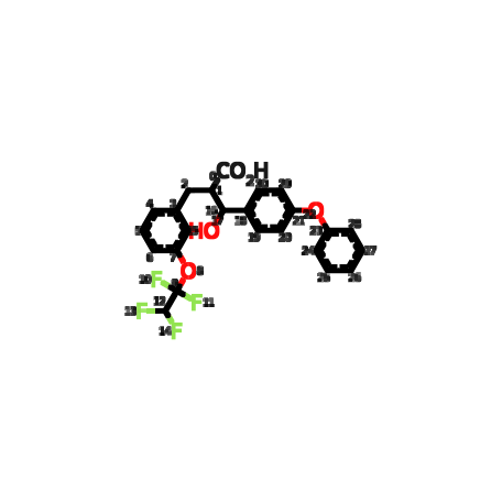 O=C(O)C(Cc1cccc(OC(F)(F)C(F)F)c1)C(O)c1ccc(Oc2ccccc2)cc1